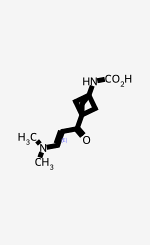 CN(C)/C=C/C(=O)C12CC(NC(=O)O)(C1)C2